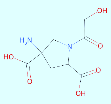 NC1(C(=O)O)CC(C(=O)O)N(C(=O)CO)C1